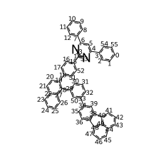 c1ccc(-c2cc(-c3ccccc3)nc(-c3ccc(-c4ccc5ccccc5c4-c4cccc(-c5ccc6c(c5)-c5cccc7cccc-6c57)c4)cc3)n2)cc1